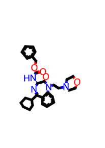 O=C(N[C@H]1N=C(C2CCCCC2)c2ccccc2N(CCN2CCOCC2)C1=O)OCc1ccccc1